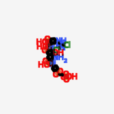 Nc1c(/N=N/c2ccc(S(=O)(=O)CCOS(=O)(=O)O)cc2)c(S(=O)(=O)O)cc2cc(S(=O)(=O)O)c(/N=N/c3cc(Nc4nc(Cl)nc(Cl)n4)ccc3S(=O)(=O)O)c(O)c12